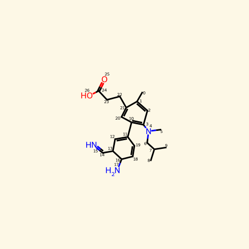 Cc1cc(N(C)CC(C)C)c(C2=CC(C=N)C(N)C=C2)cc1CCC(=O)O